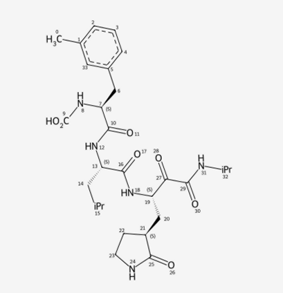 Cc1cccc(C[C@H](NC(=O)O)C(=O)N[C@@H](CC(C)C)C(=O)N[C@@H](C[C@@H]2CCNC2=O)C(=O)C(=O)NC(C)C)c1